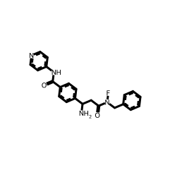 NC(CC(=O)N(F)Cc1ccccc1)c1ccc(C(=O)Nc2ccncc2)cc1